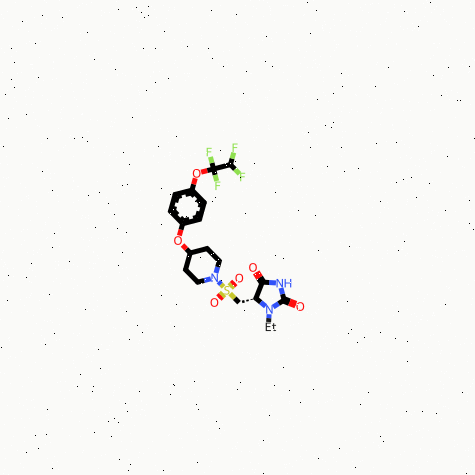 CCN1C(=O)NC(=O)[C@H]1CS(=O)(=O)N1CCC(Oc2ccc(OC(F)(F)C(F)F)cc2)CC1